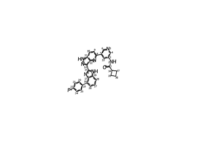 O=C(Nc1cncc(-c2ccc3[nH]nc(-c4nc5c(-c6ccc(F)cc6)cccc5[nH]4)c3n2)c1)C1CCC1